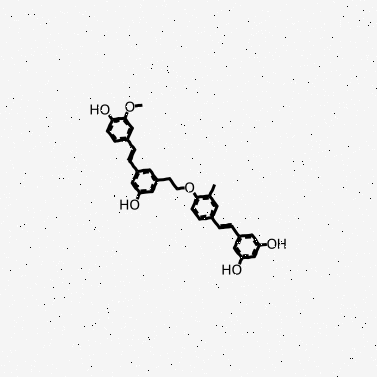 COc1cc(/C=C/c2cc(O)cc(CCOc3ccc(/C=C/c4cc(O)cc(O)c4)cc3C)c2)ccc1O